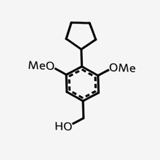 COc1cc(CO)cc(OC)c1C1CCCC1